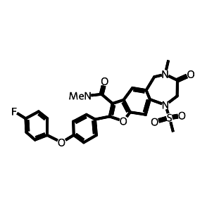 CNC(=O)c1c(-c2ccc(Oc3ccc(F)cc3)cc2)oc2cc3c(cc12)CN(C)C(=O)CN3S(C)(=O)=O